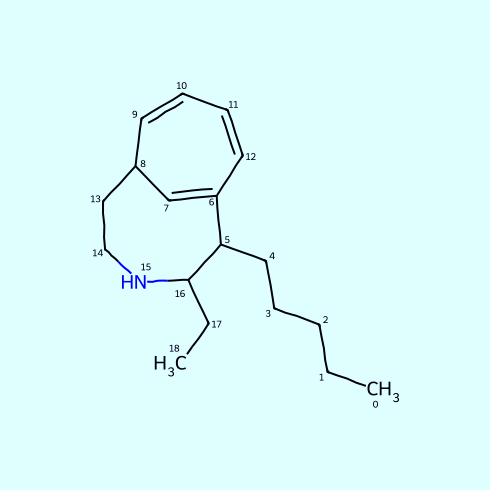 CCCCCC1C2=CC(C=CC=C2)CCNC1CC